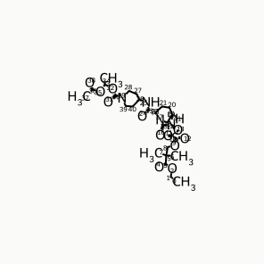 CCOC(=O)C(C)(C)COS(=O)(=O)ON1C(=O)N2C[C@@H]1CC[C@H]2C(=O)NC1CCN(C(=O)OC(C)OC(C)=O)CC1